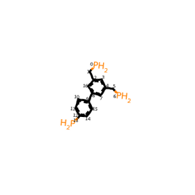 PCc1cc(CP)cc(-c2ccc(P)cc2)c1